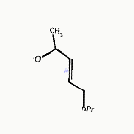 CCCC/C=C/C(C)[O]